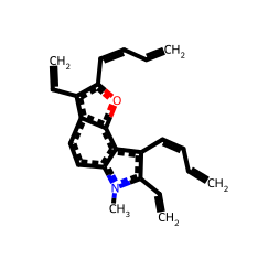 C=C/C=C\c1oc2c(ccc3c2c(/C=C\C=C)c(C=C)n3C)c1C=C